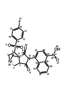 O=C1C2C[N@]3CC(S(=O)(=O)c4ccc(F)cc4)[N+]2(C3)C(=O)N1c1ccc([N+](=O)O)c2ccccc12